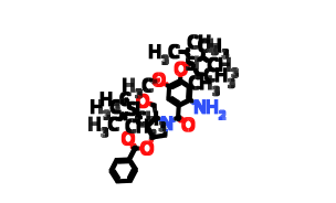 COc1cc(C(=O)N2C[C@@H](OC(=O)c3ccccc3)C[C@H]2CO[Si](C)(C)C(C)(C)C)c(N)cc1O[Si](C(C)C)(C(C)C)C(C)C